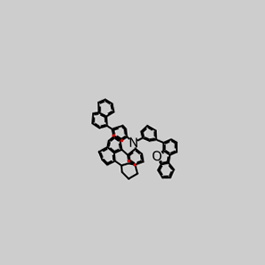 c1cc(-c2cccc3c2oc2ccccc23)cc(N(c2ccc(-c3cccc4ccccc34)cc2)c2ccccc2-c2cccc3cccc(C4CCCCC4)c23)c1